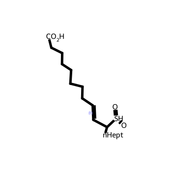 CCCCCCCC(/C=C/CCCCCCCC(=O)O)[SH](=O)=O